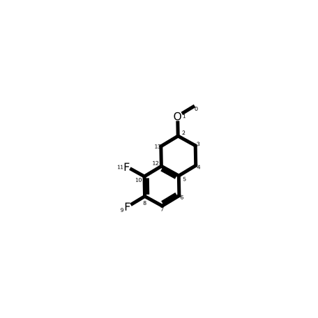 COC1CCc2ccc(F)c(F)c2C1